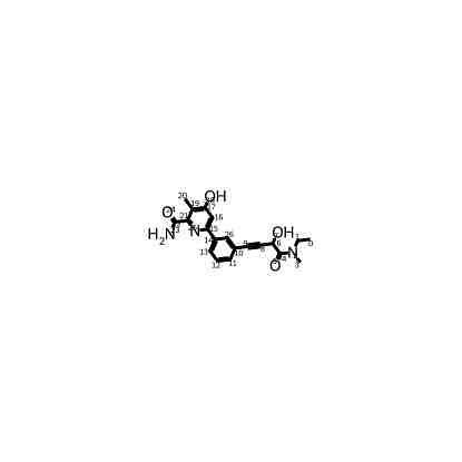 CCN(C)C(=O)C(O)C#Cc1cccc(-c2cc(O)c(C)c(C(N)=O)n2)c1